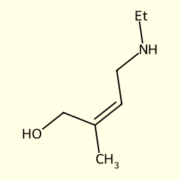 CCNC/C=C(/C)CO